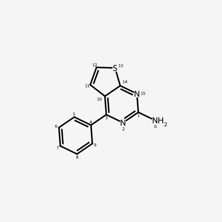 Nc1nc(-c2ccccc2)c2ccsc2n1